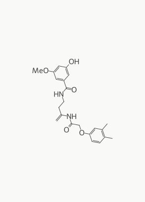 C=C(CCNC(=O)c1cc(O)cc(OC)c1)NC(=O)COc1ccc(C)c(C)c1